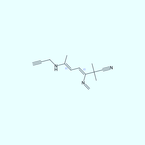 C#CCN/C(C)=C/C=C(\N=C)C(C)(C)C#N